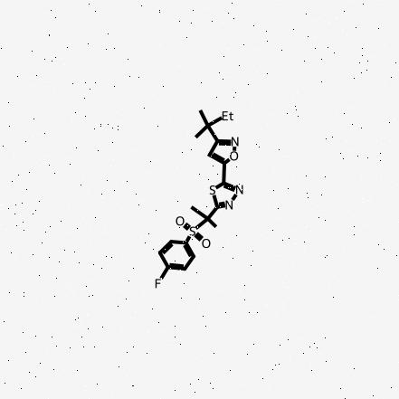 CCC(C)(C)c1cc(-c2nnc(C(C)(C)S(=O)(=O)c3ccc(F)cc3)s2)on1